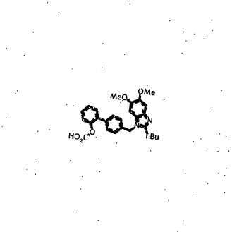 CCCCc1nc2cc(OC)c(OC)cc2n1Cc1ccc(-c2ccccc2OC(=O)O)cc1